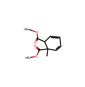 CCCCOC(=O)C1C=CC=CC1(C)C(=O)OCCCC